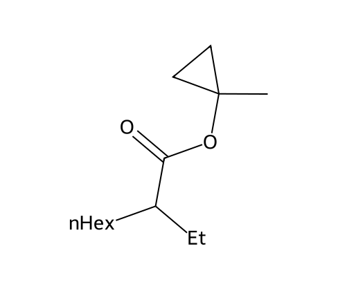 CCCCCCC(CC)C(=O)OC1(C)CC1